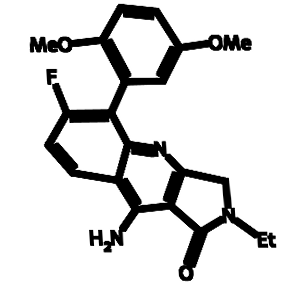 CCN1Cc2nc3c(-c4cc(OC)ccc4OC)c(F)ccc3c(N)c2C1=O